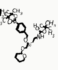 CC(C)(C)OC(=O)NCC[C@H](COC1CCCCO1)OCc1ccc(B2OC(C)(C)C(C)(C)O2)cc1